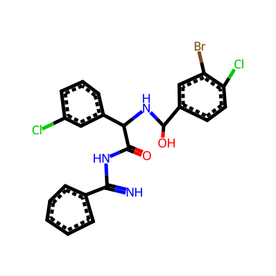 N=C(NC(=O)C(NC(O)c1ccc(Cl)c(Br)c1)c1cccc(Cl)c1)c1ccccc1